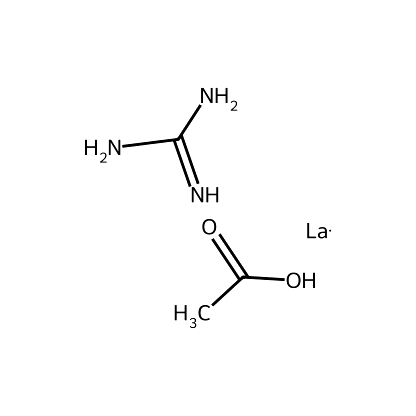 CC(=O)O.N=C(N)N.[La]